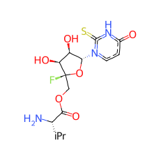 CC(C)[C@H](N)C(=O)OC[C@@]1(F)O[C@@H](n2ccc(=O)[nH]c2=S)[C@H](O)[C@@H]1O